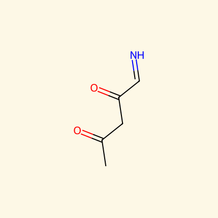 CC(=O)CC(=O)C=N